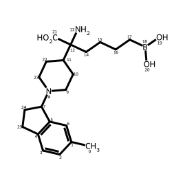 Cc1ccc2c(c1)C(N1CCC(C(N)(CCCCB(O)O)C(=O)O)CC1)CC2